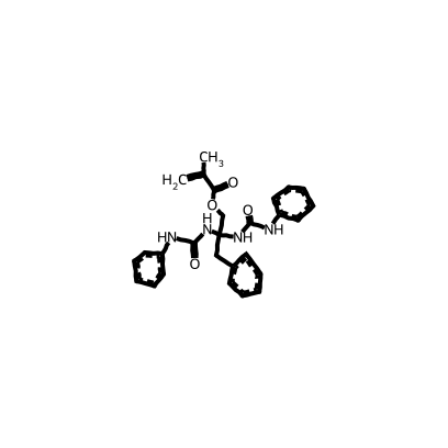 C=C(C)C(=O)OCC(Cc1ccccc1)(NC(=O)Nc1ccccc1)NC(=O)Nc1ccccc1